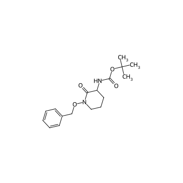 CC(C)(C)OC(=O)NC1CCCN(OCc2ccccc2)C1=O